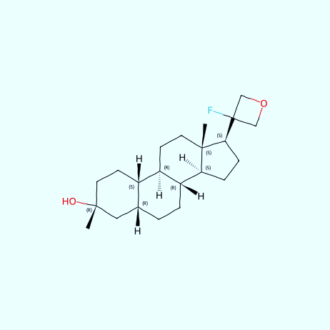 C[C@@]1(O)CC[C@H]2[C@H](CC[C@@H]3[C@@H]2CC[C@]2(C)[C@@H](C4(F)COC4)CC[C@@H]32)C1